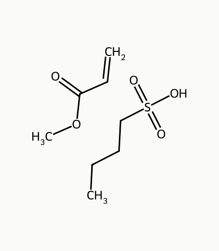 C=CC(=O)OC.CCCCS(=O)(=O)O